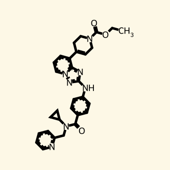 CCOC(=O)N1CC=C(c2cccn3nc(Nc4ccc(C(=O)N(Cc5ccccn5)C5CC5)cc4)nc23)CC1